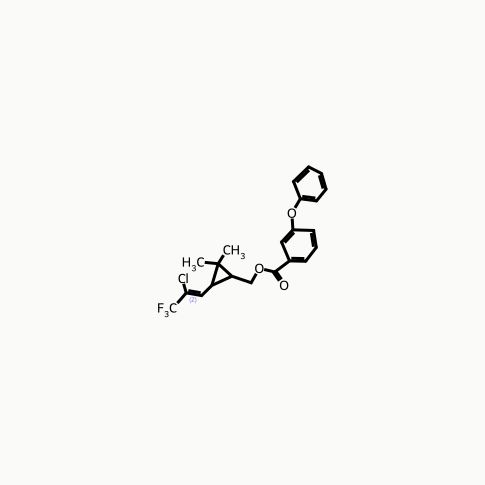 CC1(C)C(/C=C(\Cl)C(F)(F)F)C1COC(=O)c1cccc(Oc2ccccc2)c1